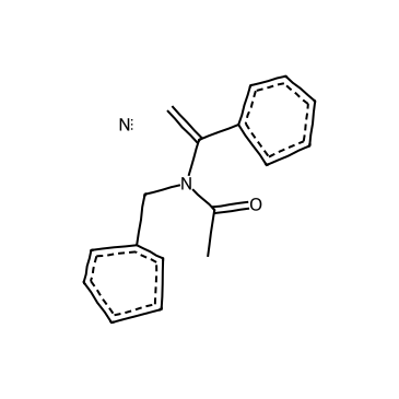 C=C(c1ccccc1)N(Cc1ccccc1)C(C)=O.[N]